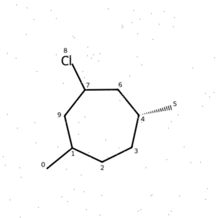 CC1CC[C@@H](C)CC(Cl)C1